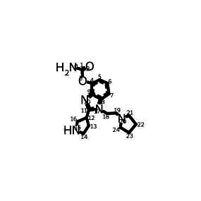 NC(=O)Oc1cccc2c1nc(C1CCNC1)n2CCN1CCCC1